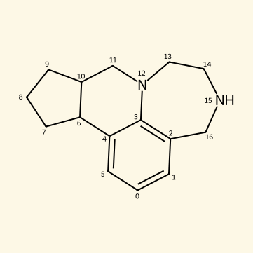 c1cc2c3c(c1)C1CCCC1CN3CCNC2